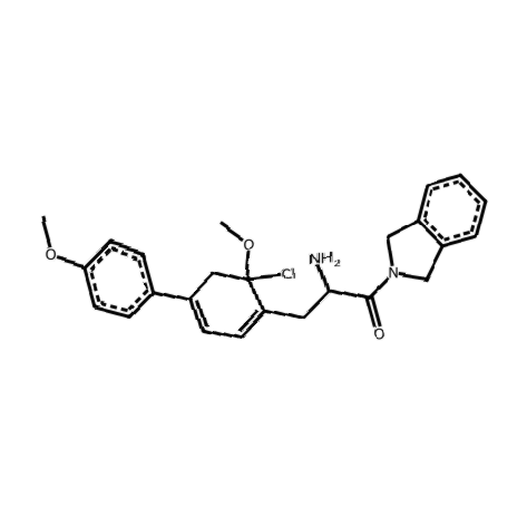 COc1ccc(C2=CC=C(CC(N)C(=O)N3Cc4ccccc4C3)C(Cl)(OC)C2)cc1